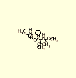 CCc1cnc([C@@H]2CCCN2C(=O)[C@@H](NC(=O)OC)[C@@H](C)OC)[nH]1